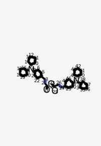 O=C(/C=C/c1ccc(N(c2ccccc2)c2ccccc2)cc1)OC(=O)/C=C/c1ccc(N(c2ccccc2)c2ccccc2)cc1